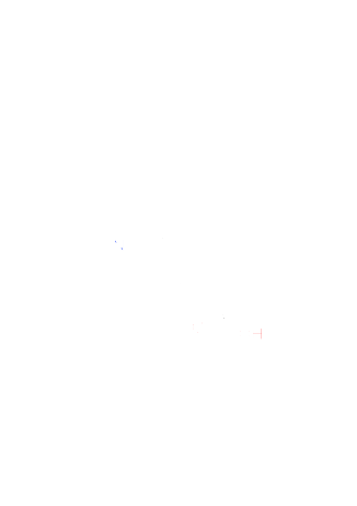 Cc1ccc(-c2c(C)c3c(c(C)c2CC(=O)O)CN(CC2CCCCC2)C3)cc1